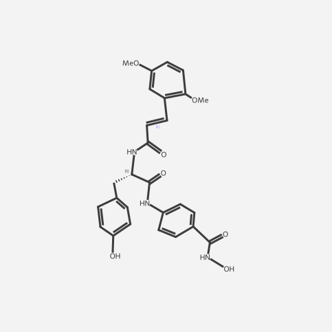 COc1ccc(OC)c(/C=C/C(=O)N[C@@H](Cc2ccc(O)cc2)C(=O)Nc2ccc(C(=O)NO)cc2)c1